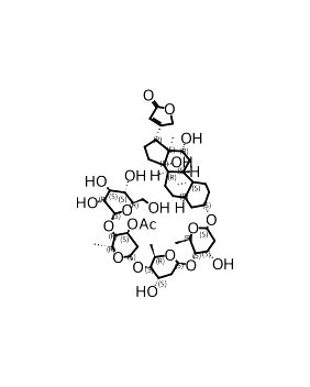 CC(=O)O[C@H]1C[C@H](O[C@H]2[C@@H](O)C[C@H](O[C@H]3[C@@H](O)C[C@@H](O[C@H]4CC[C@@]5(C)[C@H](CC[C@@H]6[C@@H]5C[C@@H](O)[C@]5(C)[C@@H](C7=CC(=O)OC7)CC[C@]65O)C4)O[C@@H]3C)O[C@@H]2C)O[C@H](C)[C@H]1O[C@@H]1O[C@H](CO)[C@@H](O)[C@H](O)[C@H]1O